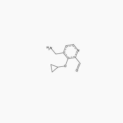 NCc1ccnc(C=O)c1OC1CC1